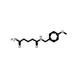 COc1ccc(CNC(=O)CCCC(N)=O)cc1